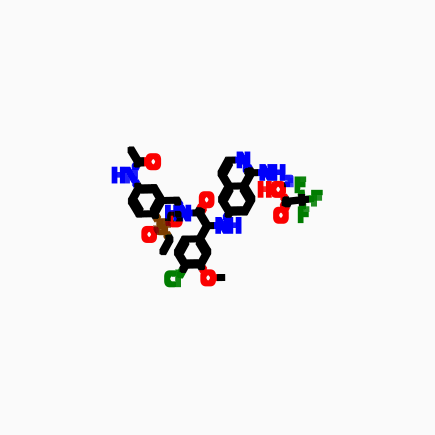 CCS(=O)(=O)c1ccc(NC(C)=O)cc1CNC(=O)C(Nc1ccc2c(N)nccc2c1)c1ccc(Cl)c(OC)c1.O=C(O)C(F)(F)F